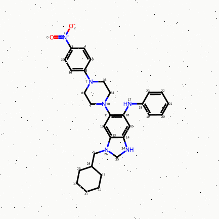 O=[N+]([O-])c1ccc(N2CCN(c3cc4c(cc3Nc3ccccc3)NCN4CC3CCCCC3)CC2)cc1